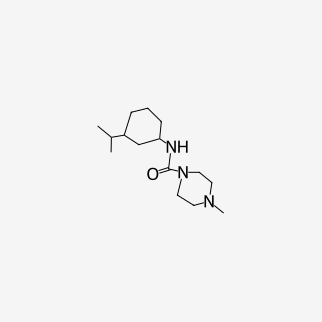 CC(C)C1CCCC(NC(=O)N2CCN(C)CC2)C1